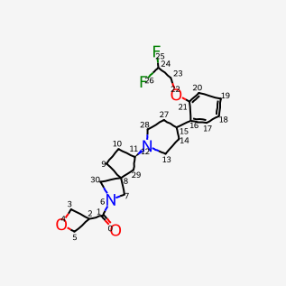 O=C(C1COC1)N1CC2(CC[C@@H](N3CCC(c4ccccc4OCC(F)F)CC3)C2)C1